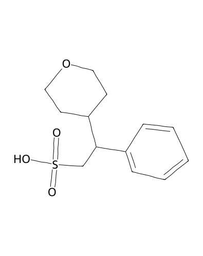 O=S(=O)(O)CC(c1ccccc1)C1CCOCC1